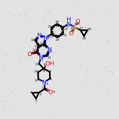 O=C(C1CC1)N1CCC(O)(Cn2cnc3c(cnn3-c3ccc(NS(=O)(=O)C4CC4)cc3)c2=O)CC1